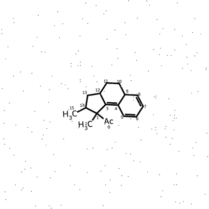 CC(=O)C1(C)C2=C3C=CC=CC3CCC2CC1C